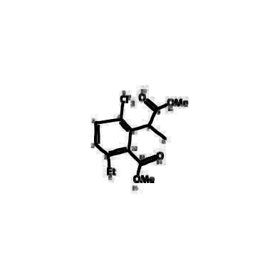 CCc1ccc(C(F)(F)F)c(C(C)C(=O)OC)c1C(=O)OC